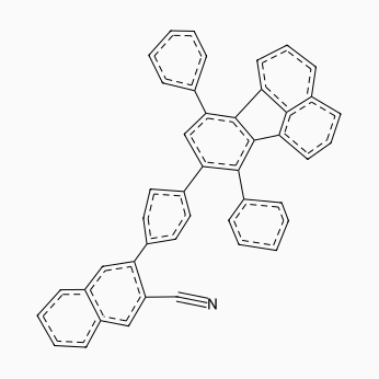 N#Cc1cc2ccccc2cc1-c1ccc(-c2cc(-c3ccccc3)c3c(c2-c2ccccc2)-c2cccc4cccc-3c24)cc1